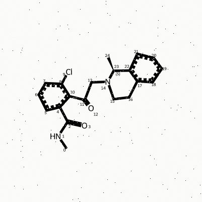 CNC(=O)c1cccc(Cl)c1C(=O)CN1CCc2ccccc2[C@@H]1C